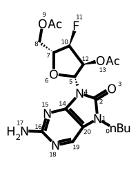 CCCCn1c(=O)n([C@@H]2O[C@H](COC(C)=O)[C@@H](F)[C@H]2OC(C)=O)c2nc(N)ncc21